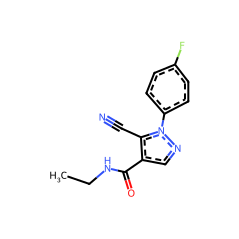 CCNC(=O)c1cnn(-c2ccc(F)cc2)c1C#N